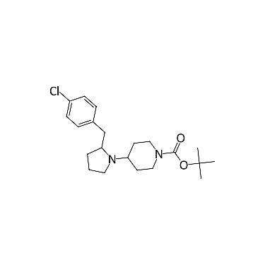 CC(C)(C)OC(=O)N1CCC(N2CCCC2Cc2ccc(Cl)cc2)CC1